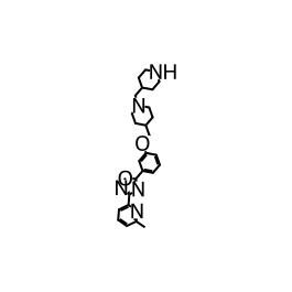 Cc1cccc(-c2noc(-c3cccc(OCC4CCN(CC5CCNCC5)CC4)c3)n2)n1